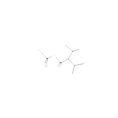 CC(C)C(C(=O)OC(=N)N)C(C)C